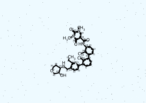 CCc1nc(-c2cccc(-c3cccc(NC(=O)c4cn(C)c(=O)n(C)c4=O)c3Cl)c2Cl)ccc1CN[C@@H]1CCOC[C@@H]1O